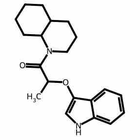 CC(Oc1c[nH]c2ccccc12)C(=O)N1CCCC2CCCCC21